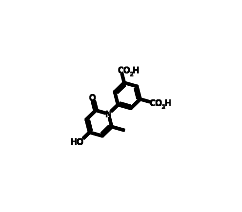 Cc1cc(O)cc(=O)n1-c1cc(C(=O)O)cc(C(=O)O)c1